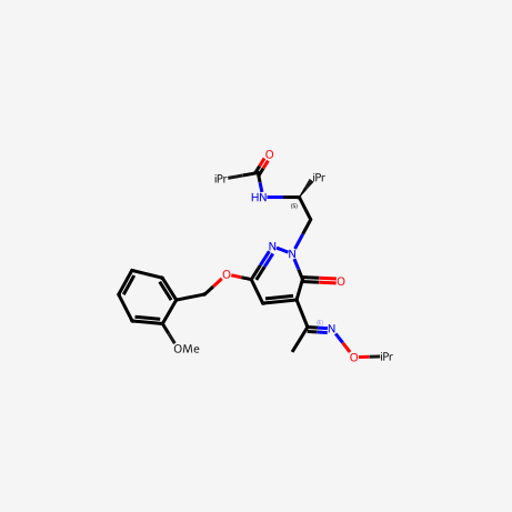 COc1ccccc1COc1cc(/C(C)=N/OC(C)C)c(=O)n(C[C@@H](NC(=O)C(C)C)C(C)C)n1